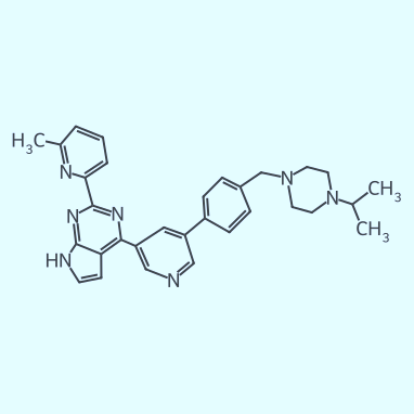 Cc1cccc(-c2nc(-c3cncc(-c4ccc(CN5CCN(C(C)C)CC5)cc4)c3)c3cc[nH]c3n2)n1